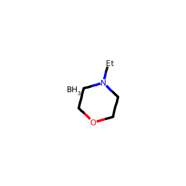 B.CCN1CCOCC1